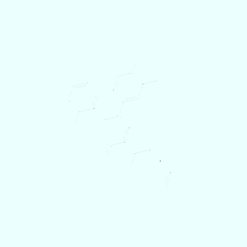 C=Cc1cc(N(/C=C(\N=C)C(CC(C)(C)C)CC(C)(C)C=C)Cc2cccnc2CC)ccc1F